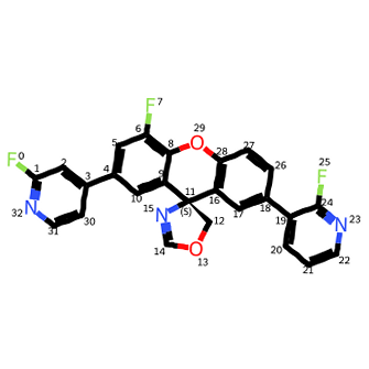 Fc1cc(-c2cc(F)c3c(c2)[C@]2(COC=N2)c2cc(-c4cccnc4F)ccc2O3)ccn1